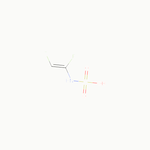 O=S(=O)(O)NC(F)=CF